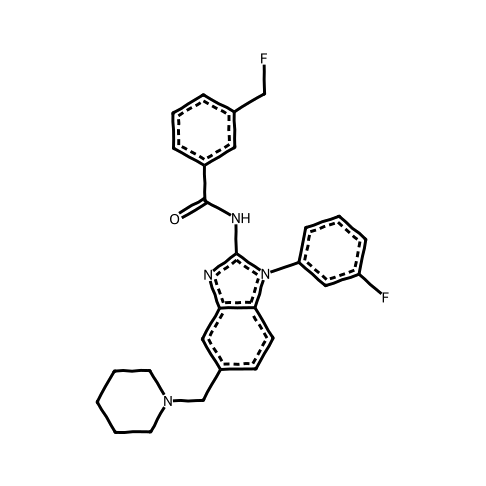 O=C(Nc1nc2cc(CN3CCCCC3)ccc2n1-c1cccc(F)c1)c1cccc(CF)c1